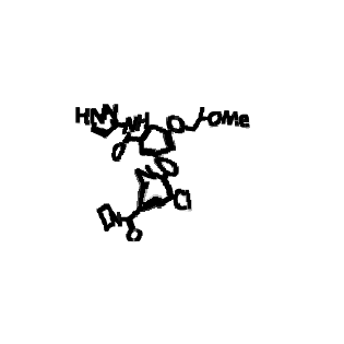 COC(C)COc1cc(Oc2ncc(C(=O)N3CCC3)cc2Cl)cc(C(=O)Nc2cc[nH]n2)c1